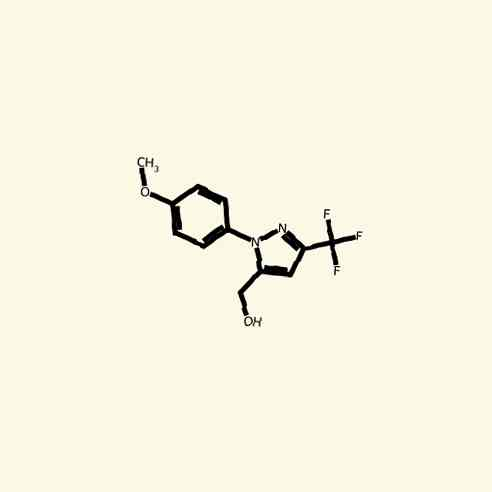 COc1ccc(-n2nc(C(F)(F)F)cc2CO)cc1